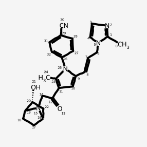 Cc1nccn1C/C=C/c1cc(C(=O)CN2C3CCC2[C@H](O)C3)c(C)n1-c1ccc(C#N)cc1